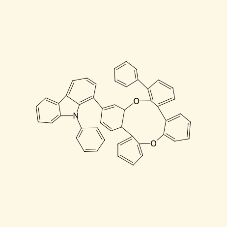 C1=CC2c3ccccc3Oc3ccccc3-c3cccc(-c4ccccc4)c3OC2C=C1c1cccc2c3ccccc3n(-c3ccccc3)c12